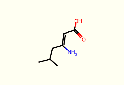 CC(C)CC(N)=CC(=O)O